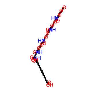 O=CCOCCOCCNC(=O)COCCOCCNC(=O)COCCOCCNC(=O)COCCOCCNC(=O)CC[C@H](NC(=O)CCCCCCCCCCCCCCCCCCC(=O)O)C(=O)O